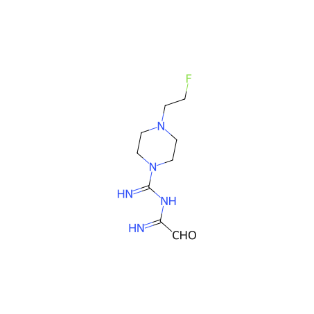 N=C(C=O)NC(=N)N1CCN(CCF)CC1